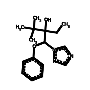 CCC(O)(C(Oc1ccccc1)n1cncn1)C(C)(C)C